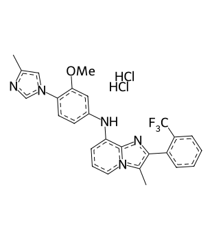 COc1cc(Nc2cccn3c(C)c(-c4ccccc4C(F)(F)F)nc23)ccc1-n1cnc(C)c1.Cl.Cl